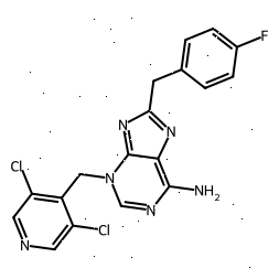 Nc1ncn(Cc2c(Cl)cncc2Cl)c2nc(Cc3ccc(F)cc3)nc1-2